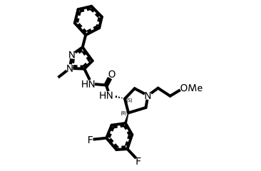 COCCN1C[C@@H](NC(=O)Nc2cc(-c3ccccc3)nn2C)[C@H](c2cc(F)cc(F)c2)C1